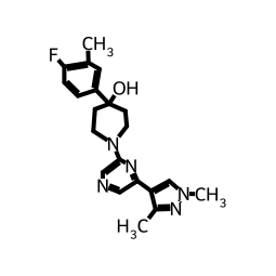 Cc1cc(C2(O)CCN(c3cncc(-c4cn(C)nc4C)n3)CC2)ccc1F